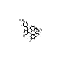 Cc1ccc(N2c3ccc(C)cc3B3c4cc(I)ccc4C(C)(C)c4c(C)ccc2c43)cc1